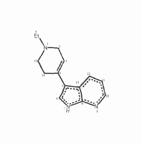 CCN1CC=C(c2c[nH]c3ncccc23)CC1